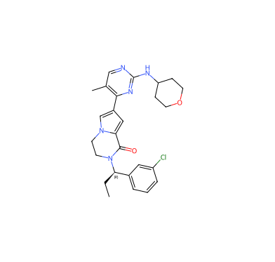 CC[C@H](c1cccc(Cl)c1)N1CCn2cc(-c3nc(NC4CCOCC4)ncc3C)cc2C1=O